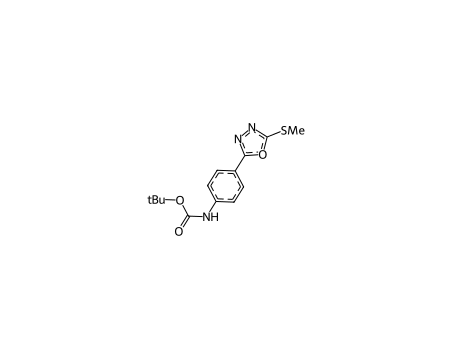 CSc1nnc(-c2ccc(NC(=O)OC(C)(C)C)cc2)o1